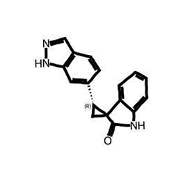 O=C1Nc2ccccc2C12C[C@@H]2c1ccc2cn[nH]c2c1